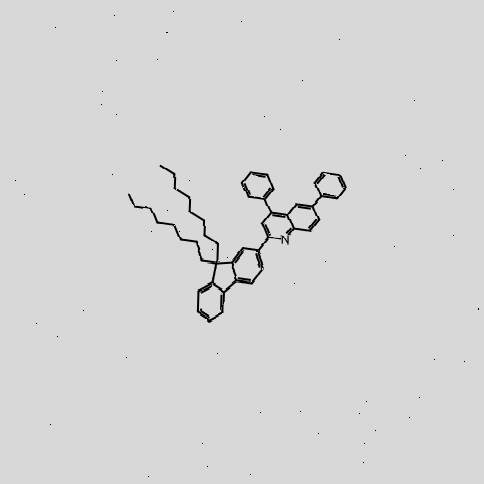 CCCCCCCCC1(CCCCCCCC)c2ccccc2-c2ccc(-c3cc(-c4ccccc4)c4cc(-c5ccccc5)ccc4n3)cc21